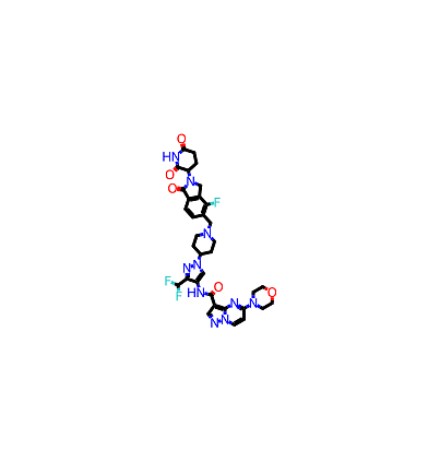 O=C1CCC(N2Cc3c(ccc(CN4CCC(n5cc(NC(=O)c6cnn7ccc(N8CCOCC8)nc67)c(C(F)F)n5)CC4)c3F)C2=O)C(=O)N1